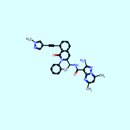 Cc1cc(C)n2nc(N)c(C(=O)NC(C)c3cc4cccc(C#Cc5cnn(C)c5)c4c(=O)n3-c3ccccc3)c2n1